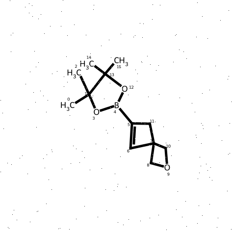 CC1(C)OB(C2=CC3(COC3)C2)OC1(C)C